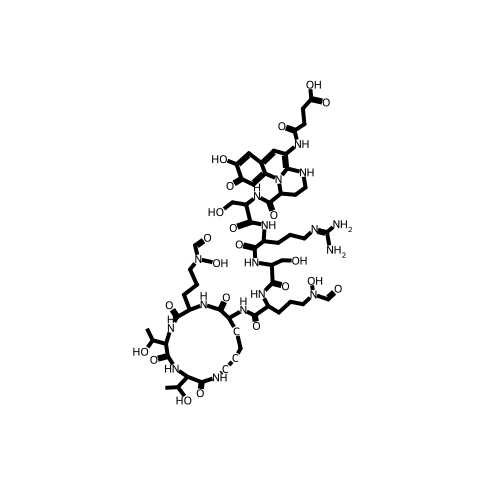 CC(O)C1NC(=O)C(CCCN(O)C=O)NC(=O)C(NC(=O)C(CCCN(O)C=O)NC(=O)C(CO)NC(=O)C(CCCN=C(N)N)NC(=O)C(CO)NC(=O)C2CCNc3c(NC(=O)CCC(=O)O)cc4cc(O)c(=O)cc-4n32)CCCCNC(=O)C(C(C)O)NC1=O